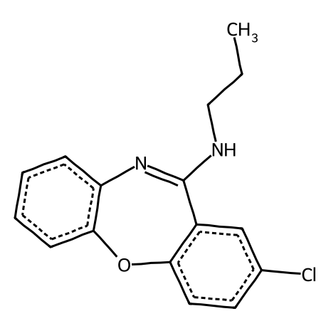 CCCNC1=Nc2ccccc2Oc2ccc(Cl)cc21